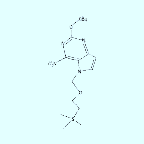 CCCCOc1nc(N)c2c(ccn2COCC[Si](C)(C)C)n1